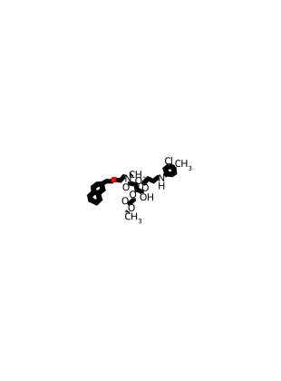 CCOC(=O)CO[C@@H](C(=O)O)[C@@H](OCCCCNc1ccc(C)c(Cl)c1)C(=O)N(C)CCCCCc1ccc2ccccc2c1